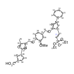 CCOP(=O)(/C=C/c1cn(-c2ccccc2)nc1OCc1ccc(OCc2nc(-c3ccc(C(=O)O)s3)oc2C)c(OC)c1)OCC